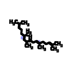 C=C(/C=C(\C)CCC=C(C)C)NC/C=C(\C)CCC=C(C)C